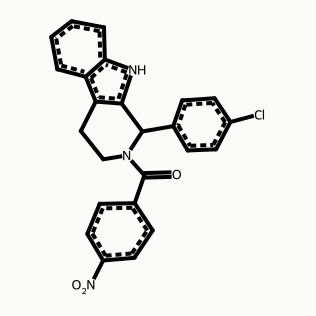 O=C(c1ccc([N+](=O)[O-])cc1)N1CCc2c([nH]c3ccccc23)C1c1ccc(Cl)cc1